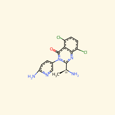 C[C@H](N)c1nc2c(Cl)ccc(Cl)c2c(=O)n1-c1ccc(N)nc1